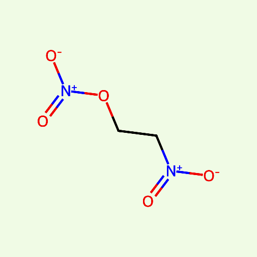 O=[N+]([O-])CCO[N+](=O)[O-]